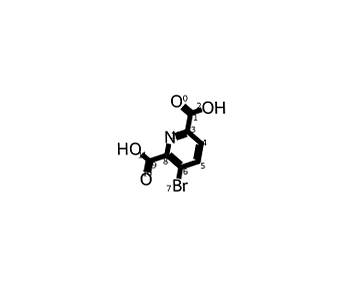 O=C(O)c1ccc(Br)c(C(=O)O)n1